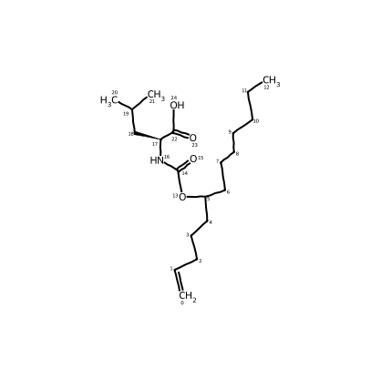 C=CCCCC(CCCCCCC)OC(=O)N[C@@H](CC(C)C)C(=O)O